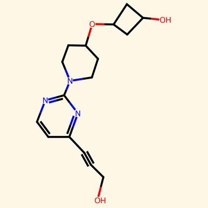 OCC#Cc1ccnc(N2CCC(OC3CC(O)C3)CC2)n1